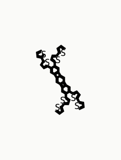 C1=C(c2cc3c(cc2-c2ccc(-c4cccs4)s2)c2cc4c5cc(-c6ccc(-c7cccs7)s6)c(-c6ccc(-c7cccs7)s6)cc5c4cc32)SC(c2cccs2)C1